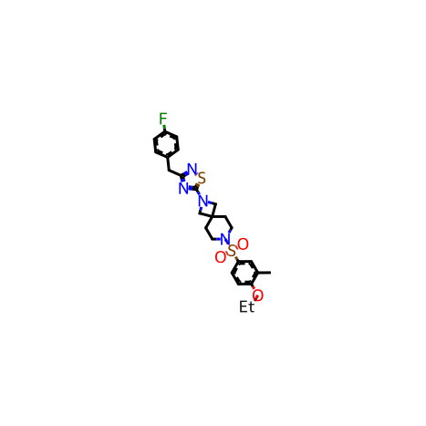 CCOc1ccc(S(=O)(=O)N2CCC3(CC2)CN(c2nc(Cc4ccc(F)cc4)ns2)C3)cc1C